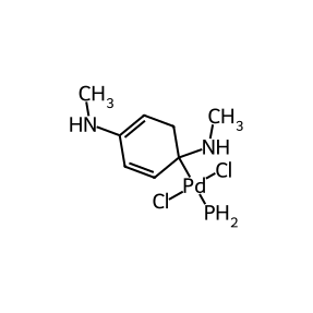 CNC1=CC[C](NC)([Pd]([PH2])([Cl])[Cl])C=C1